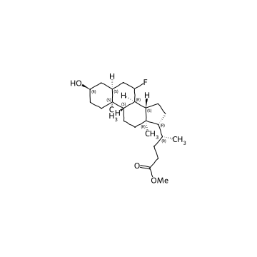 COC(=O)CC[C@@H](C)[C@H]1CC[C@H]2[C@@H]3C(F)C[C@@H]4C[C@H](O)CC[C@]4(C)[C@H]3CC[C@]12C